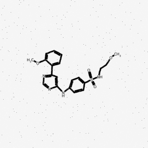 COCCNS(=O)(=O)c1ccc(Nc2cc(-c3ccccc3OC)ncn2)cc1